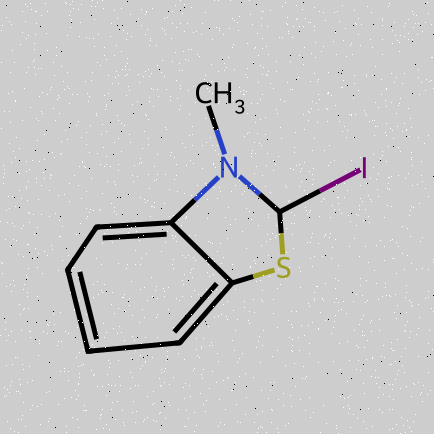 CN1c2ccccc2SC1I